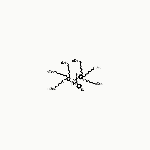 CCCCCCCCCCCCCCCCCc1cc(Nc2nc(Nc3cc(CCCCCCCCCCCCCCCCC)c(CCCCCCCCCCCCCCCCC)c(CCCCCCCCCCCCCCCCC)c3)nc(-c3ccc(CC)cc3)n2)cc(CCCCCCCCCCCCCCCCC)c1CCCCCCCCCCCCCCCCC